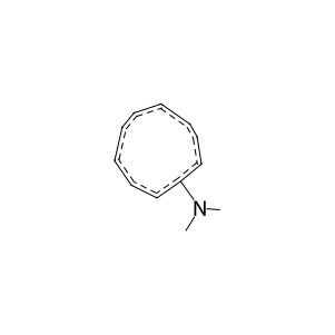 CN(C)c1ccccccccc1